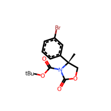 CC(C)(C)OC(=O)N1C(=O)OC[C@@]1(C)c1cccc(Br)c1